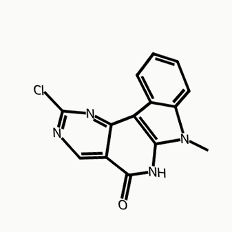 Cn1c2ccccc2c2c3nc(Cl)ncc3c(=O)[nH]c21